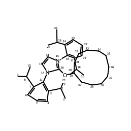 CC(C)c1cccc(C(C)C)c1-n1cc[n+](-c2c(C(C)C)cccc2C(C)C)c1OC1CCCCCCCCCC1